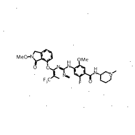 C=N/C(=N\C(Oc1cccc2c1C(=O)N(OC)C2)=C(/C)C(F)(F)F)Nc1cc(F)c(C(=O)N[C@@H]2CCCN(C)C2)cc1OC